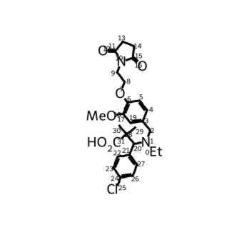 CCN(Cc1ccc(OCCN2C(=O)CCC2=O)c(OC)c1)C(c1ccc(Cl)cc1)C(C)(C)C(=O)O